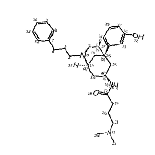 C[C@@H]1CN(CCCc2ccccc2)[C@@H]2C[C@H](NC(=O)CCCN(C)C)C[C@]1(c1cccc(O)c1)C2